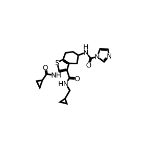 O=C(NCC1CC1)c1c(NC(=O)C2CC2)sc2c1CC(NC(=O)n1ccnc1)CC2